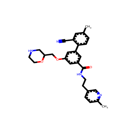 Cc1ccc(-c2cc(OCC3CNCCO3)cc(C(=O)NCCc3ccc(C)nc3)c2)c(C#N)c1